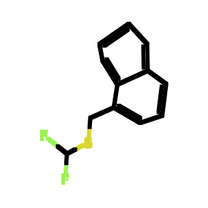 FC(F)SCc1cccc2ccccc12